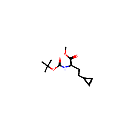 COC(=O)C(CCC1CC1)NC(=O)OC(C)(C)C